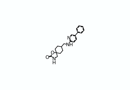 O=C1NCC2(CCC(CNc3ccc(-c4ccccc4)cn3)CC2)O1